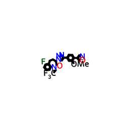 COc1cc(-c2cn(C3CCc4c(F)cccc4N(CC(F)(F)F)C3=O)nn2)ccc1-c1cnoc1